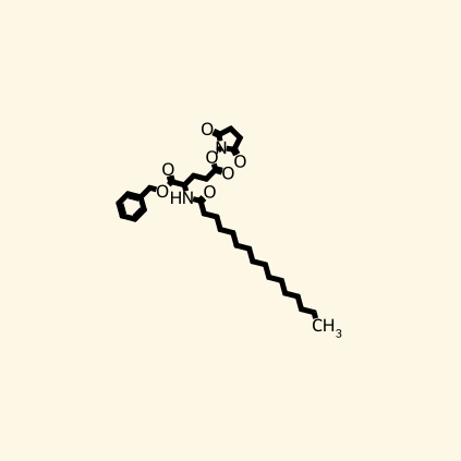 CCCCCCCCCCCCCCCC(=O)NC(CCC(=O)ON1C(=O)CCC1=O)C(=O)OCc1ccccc1